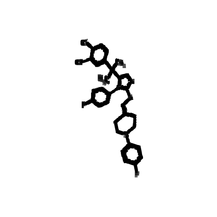 CC(C)(c1ccc(Cl)c(Cl)c1)c1cnc(SCC2CCN(c3ccc(F)cc3)CC2)n1-c1ccc(F)cc1